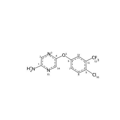 Nc1cnc(Oc2ccc(Cl)c(C(F)(F)F)c2)cn1